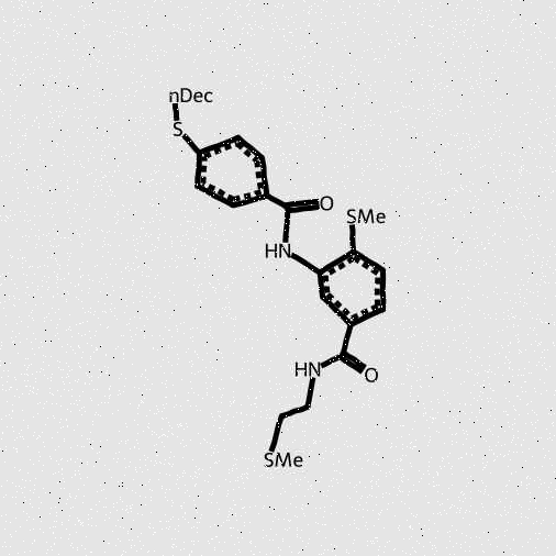 CCCCCCCCCCSc1ccc(C(=O)Nc2cc(C(=O)NCCSC)ccc2SC)cc1